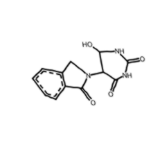 O=C1NC(=O)C(N2Cc3ccccc3C2=O)C(O)N1